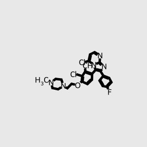 Cc1c(-c2c(-c3ccc(F)cc3)nc3nccc(Cl)n23)ccc(OCCN2CCN(C)CC2)c1Cl